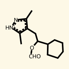 Cc1n[nH]c(C)c1CC(OC=O)C1CCCCC1